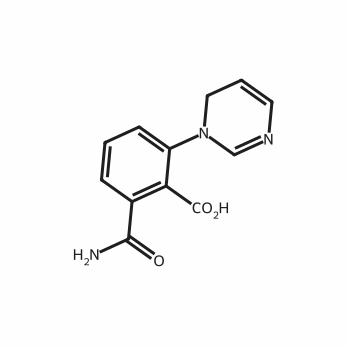 NC(=O)c1cccc(N2C=NC=CC2)c1C(=O)O